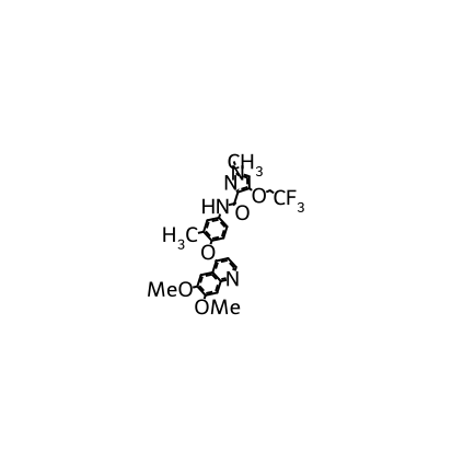 COc1cc2nccc(Oc3ccc(NC(=O)c4nn(C)cc4OCC(F)(F)F)cc3C)c2cc1OC